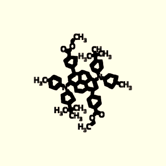 CCOC(=O)c1ccc(-c2cc(N(c3ccc(C)cc3)c3ccc(C(C)(C)C)cc3)c3ccc4c(-c5ccc(C(=O)OCC)cc5)cc(N(c5ccc(C)cc5)c5ccc(C(C)(C)C)cc5)c5ccc2c3c45)cc1